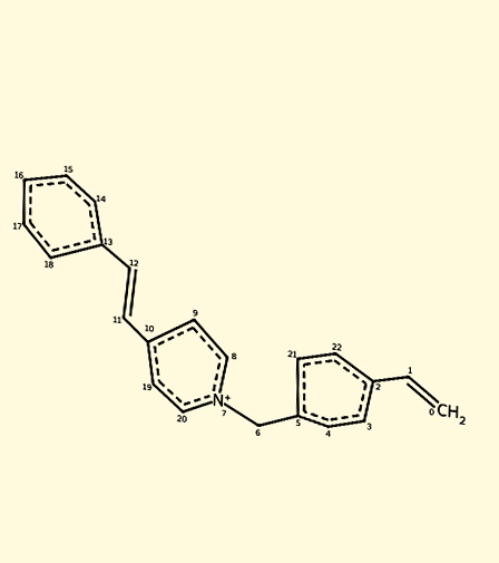 C=Cc1ccc(C[n+]2ccc(C=Cc3ccccc3)cc2)cc1